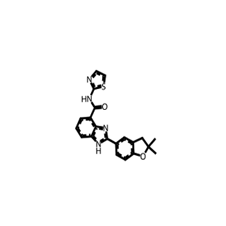 CC1(C)Cc2cc(-c3nc4c(C(=O)Nc5nccs5)cccc4[nH]3)ccc2O1